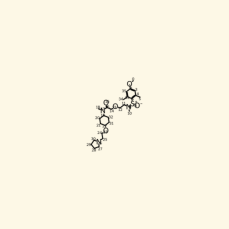 COc1cc(C)c([S+]([O-])N(C)CCOCC(=O)N(C)[C@H]2CC[C@@H](OCCN3CCCC3)CC2)c(C)c1